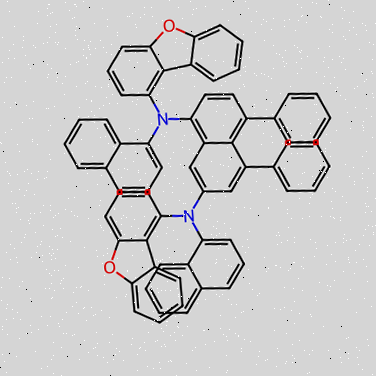 c1ccc(-c2ccc(N(c3cccc4ccccc34)c3cccc4oc5ccccc5c34)c3cc(N(c4cccc5ccccc45)c4cccc5oc6ccccc6c45)cc(-c4ccccc4)c23)cc1